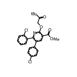 COC(=O)c1cc(-c2ccc(Cl)cc2)c(-c2ccccc2Cl)nc1OCC(=O)C(C)(C)C